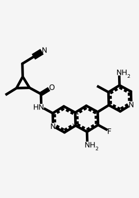 Cc1c(N)cncc1-c1cc2cc(NC(=O)C3C(C)C3CC#N)ncc2c(N)c1F